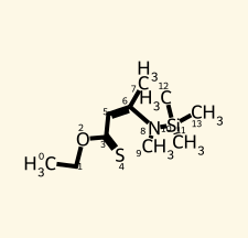 CCOC(=S)/C=C(/C)N(C)[Si](C)(C)C